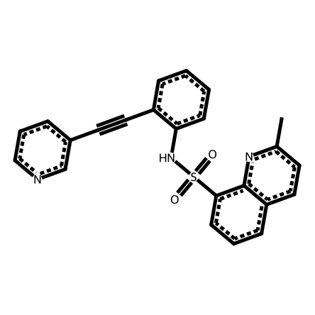 Cc1ccc2cccc(S(=O)(=O)Nc3ccccc3C#Cc3cccnc3)c2n1